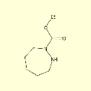 CCOC(=O)N1CCCCCN1